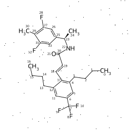 CCCCc1cc(C(F)(F)F)cc(CCCC)c1/C=C/C(=O)N[C@H](C)c1cc(F)c(C)c(F)c1